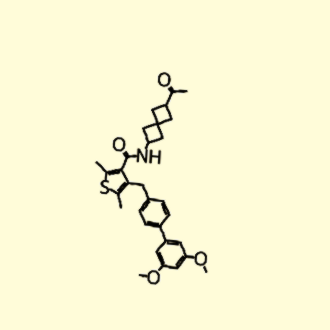 COc1cc(OC)cc(-c2ccc(Cc3c(C)sc(C)c3C(=O)NC3CC4(C3)CC(C(C)=O)C4)cc2)c1